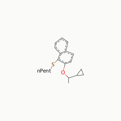 CCCCCSc1c(OC(C)C2CC2)ccc2ccccc12